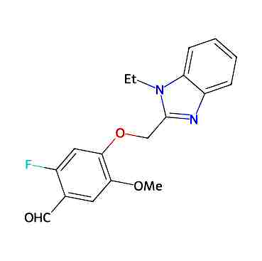 CCn1c(COc2cc(F)c(C=O)cc2OC)nc2ccccc21